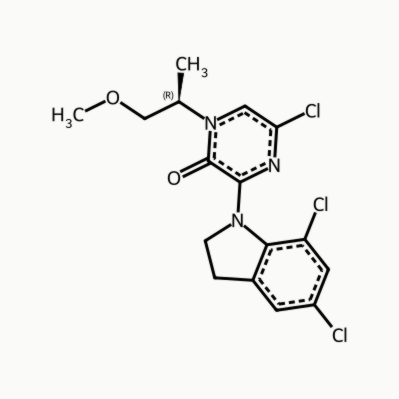 COC[C@@H](C)n1cc(Cl)nc(N2CCc3cc(Cl)cc(Cl)c32)c1=O